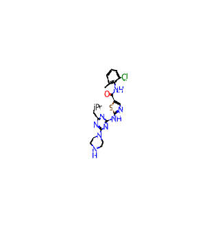 Cc1cccc(Cl)c1NC(=O)c1cnc(Nc2nc(CC(C)C)nc(N3CCNCC3)n2)s1